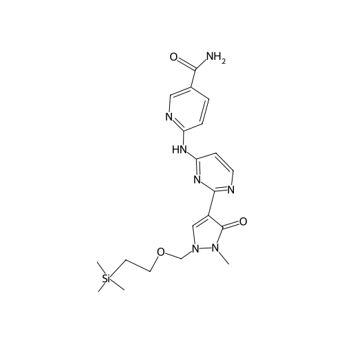 Cn1c(=O)c(-c2nccc(Nc3ccc(C(N)=O)cn3)n2)cn1COCC[Si](C)(C)C